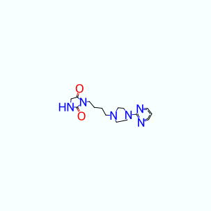 O=C1CNC(=O)N1CCCCN1CCN(c2ncccn2)CC1